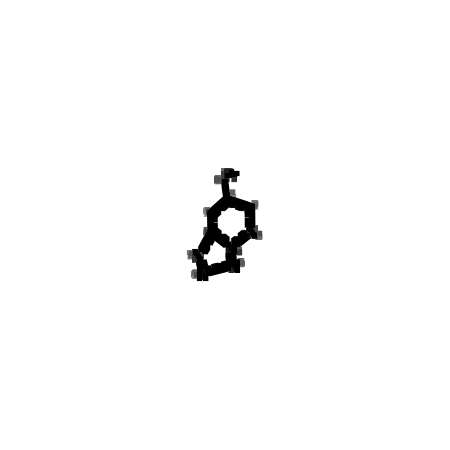 CC(C)c1cnn2nnnc2c1